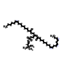 CC/C=C\C/C=C\C/C=C\CCCCCCCC(=O)O[C@H](COC(=O)CCCCCCC/C=C\CCCCC)COP(=O)([O-])OCC[N+](C)(C)C